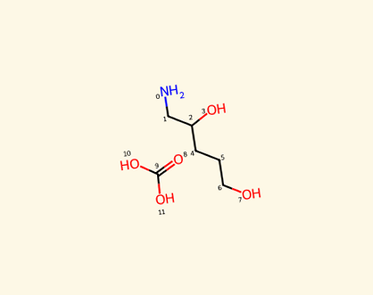 NCC(O)CCCO.O=C(O)O